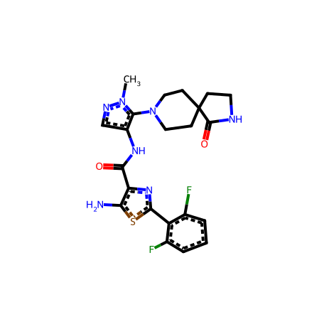 Cn1ncc(NC(=O)c2nc(-c3c(F)cccc3F)sc2N)c1N1CCC2(CCNC2=O)CC1